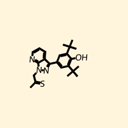 CC(=S)Cn1nc(-c2cc(C(C)(C)C)c(O)c(C(C)(C)C)c2)c2cccnc21